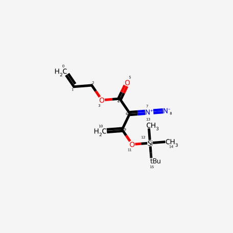 C=CCOC(=O)C(=[N+]=[N-])C(=C)O[Si](C)(C)C(C)(C)C